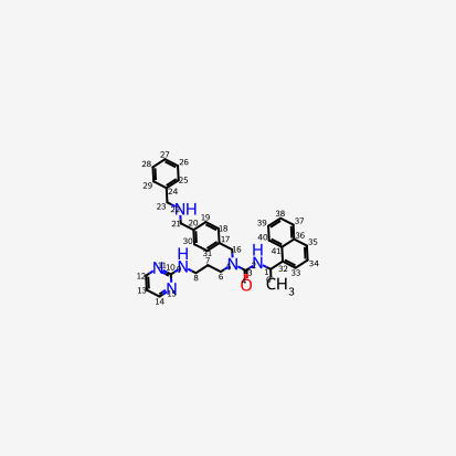 CC(NC(=O)N(CCCNc1ncccn1)Cc1ccc(CNCc2ccccc2)cc1)c1cccc2ccccc12